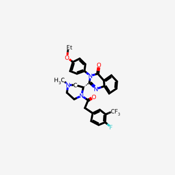 CCOc1ccc(-n2c([C@H]3CN(C)CCN3C(=O)Cc3ccc(F)c(C(F)(F)F)c3)nc3ccccc3c2=O)cc1